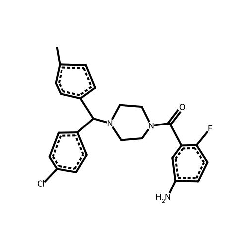 Cc1ccc(C(c2ccc(Cl)cc2)N2CCN(C(=O)c3cc(N)ccc3F)CC2)cc1